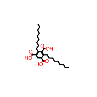 CCCCCCCCCc1c(C(=O)O)cc(C(=O)O)c(CCCCCCCCC)c1C(=O)O